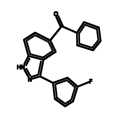 O=C(c1ccccc1)c1ccc2[nH]nc(-c3cccc(F)c3)c2c1